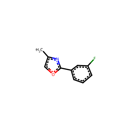 [CH2]c1coc(-c2cccc(F)c2)n1